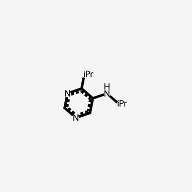 CC(C)Nc1cncnc1C(C)C